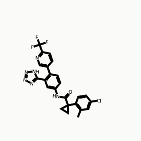 Cc1cc(Cl)ccc1C1(C(=O)Nc2ccc(-c3ccc(C(F)(F)F)nc3)c(-c3nnn[nH]3)c2)CC1